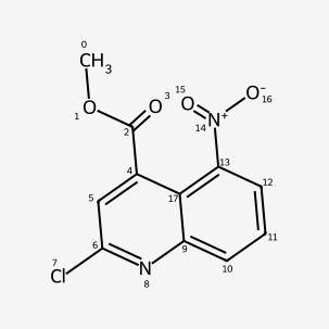 COC(=O)c1cc(Cl)nc2cccc([N+](=O)[O-])c12